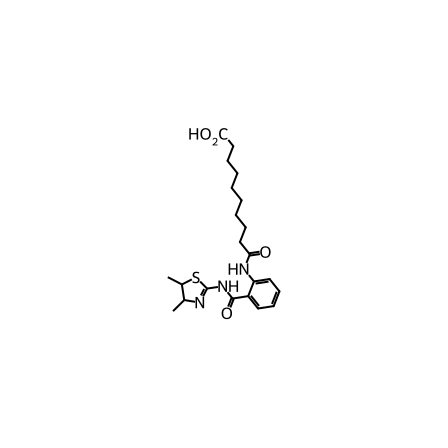 CC1N=C(NC(=O)c2ccccc2NC(=O)CCCCCCCCC(=O)O)SC1C